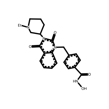 CCN1CCCC(n2c(=O)c3ccccc3n(Cc3ccc(C(=O)NO)cc3)c2=O)C1